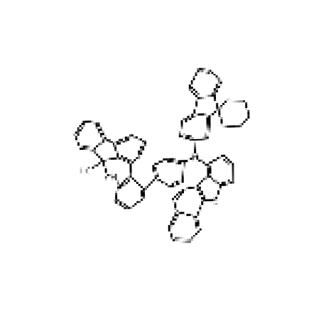 CC1(C)c2ccccc2-c2cccc(-c3ccccc3-c3ccc(N(c4ccc5c(c4)C4(CCCCC4)c4ccccc4-5)c4cccc5sc6c7ccccc7ccc6c45)cc3)c21